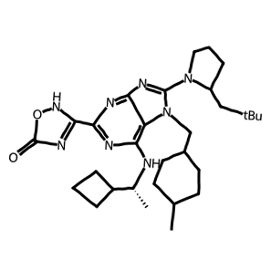 CC1CCC(Cn2c(N3CCCC3CC(C)(C)C)nc3nc(-c4nc(=O)o[nH]4)nc(N[C@H](C)C4CCC4)c32)CC1